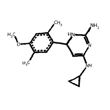 COc1cc(C)c(C2C=C(NC3CC3)N=C(N)N2)cc1C